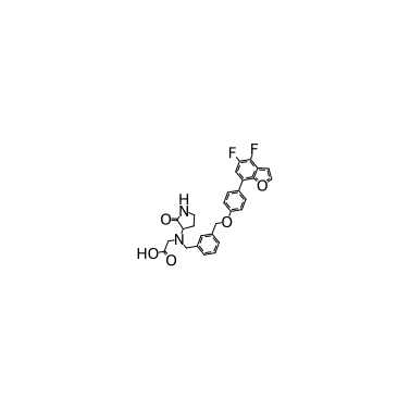 O=C(O)CN(Cc1cccc(COc2ccc(-c3cc(F)c(F)c4ccoc34)cc2)c1)C1CCNC1=O